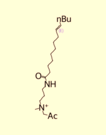 CCCC/C=C/CCCCCCCC(=O)NCCC[N+](C)(C)CC(C)=O